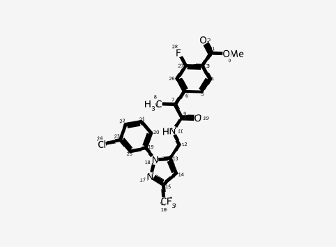 COC(=O)c1ccc(C(C)C(=O)NCc2cc(C(F)(F)F)nn2-c2cccc(Cl)c2)cc1F